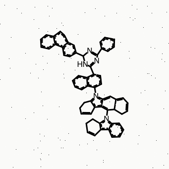 C1=CCC2C(=C1)C=c1c(c3c(n1-c1ccc(C4=NC(c5ccccc5)=NC(c5ccc6c(ccc7ccccc76)c5)N4)c4ccccc14)CCC=C3)=C2n1c2c(c3ccccc31)C=CCC2